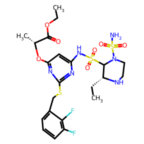 CCOC(=O)[C@@H](C)Oc1cc(NS(=O)(=O)C2[C@@H](CC)NCCN2S(N)(=O)=O)nc(SCc2cccc(F)c2F)n1